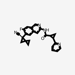 N#C[C@]1(c2cc3cc(NC(=O)C4CC4c4ccccn4)ncc3cc2F)CC12CC2